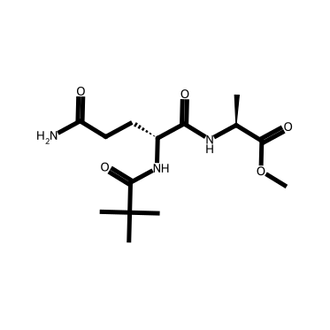 COC(=O)[C@H](C)NC(=O)[C@@H](CCC(N)=O)NC(=O)C(C)(C)C